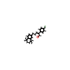 CC1(C)CCC(C)(C)c2cc(CC/C=C(\C=O)c3ccc(F)cc3)ccc21